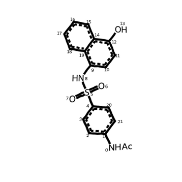 CC(=O)Nc1ccc(S(=O)(=O)Nc2ccc(O)c3ccccc23)cc1